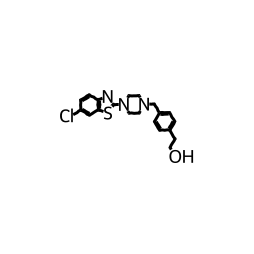 OCCc1ccc(CN2CCN(c3nc4ccc(Cl)cc4s3)CC2)cc1